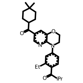 CCc1cc(N2CCOc3cc(C(=O)C4CCC(C)(C)CC4)cnc32)ccc1C(=O)C(C)C